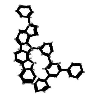 c1ccc(-c2cc(-c3ccccc3)nc(-c3cccc(-n4c5c(ccc6c5ccn6-c5ccccc5)c5ccc6c7ccccc7sc6c54)c3)n2)cc1